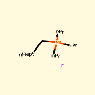 CCCCCCCC[P+](CCC)(CCC)CCC.[I-]